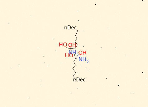 CCCCCCCCCCCCCCCC(N)C(O)C(O)C(CCCCCCCCCCCCCCC)C(N)(O)CO